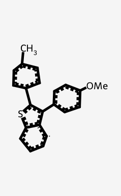 COc1ccc(-c2c(-c3ccc(C)cc3)sc3ccc[c]c23)cc1